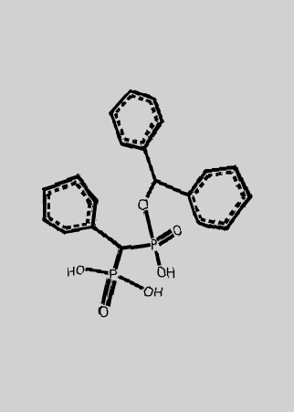 O=P(O)(O)C(c1ccccc1)P(=O)(O)OC(c1ccccc1)c1ccccc1